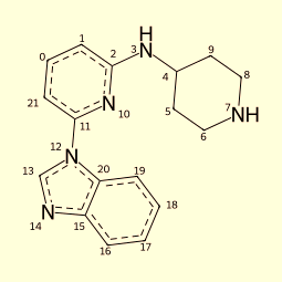 c1cc(NC2CCNCC2)nc(-n2cnc3ccccc32)c1